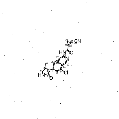 C[C@H]1CNC(=O)N1c1cc(Cl)c2cnc(NC(=O)[C@H]3C[C@@H]3C#N)cc2c1